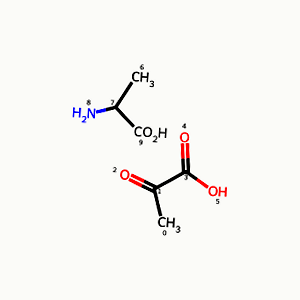 CC(=O)C(=O)O.CC(N)C(=O)O